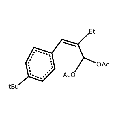 CCC(=Cc1ccc(C(C)(C)C)cc1)C(OC(C)=O)OC(C)=O